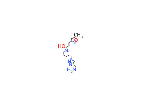 Cc1cc(/C=C/C(O)N2CCC[C@@H](Cn3cc(CN)nn3)C2)no1